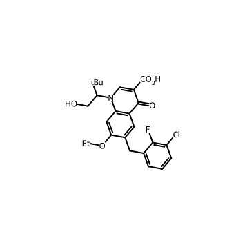 CCOc1cc2c(cc1Cc1cccc(Cl)c1F)c(=O)c(C(=O)O)cn2C(CO)C(C)(C)C